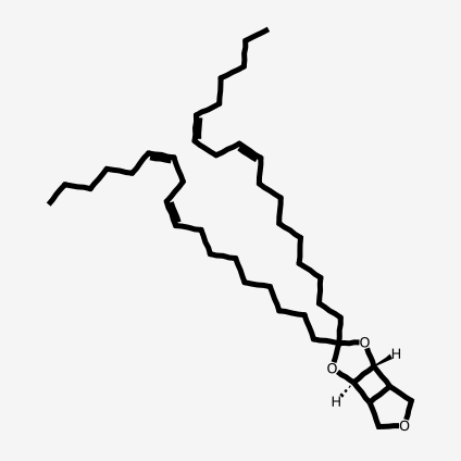 CCCCC/C=C\C/C=C\CCCCCCCCC1(CCCCCCCC/C=C\C/C=C\CCCCC)O[C@@H]2C3COCC3[C@H]2O1